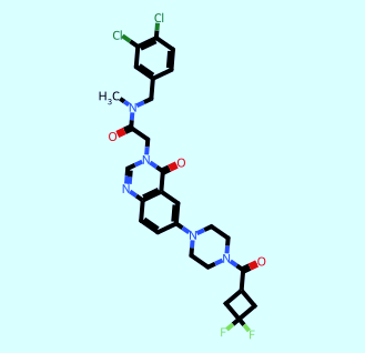 CN(Cc1ccc(Cl)c(Cl)c1)C(=O)Cn1cnc2ccc(N3CCN(C(=O)C4CC(F)(F)C4)CC3)cc2c1=O